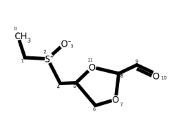 CC[S+]([O-])CC1COC(C=O)O1